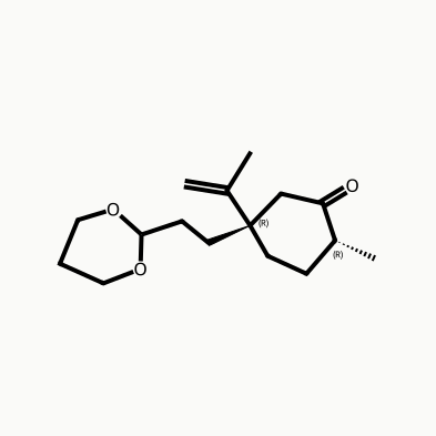 C=C(C)[C@@]1(CCC2OCCCO2)CC[C@@H](C)C(=O)C1